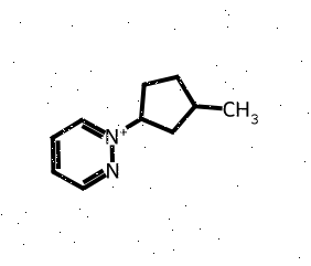 CC1CCC([n+]2ccccn2)C1